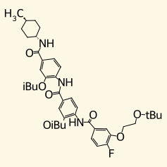 CC(C)COc1cc(C(=O)Nc2ccc(C(=O)N[C@H]3CC[C@H](C)CC3)cc2OCC(C)C)ccc1NC(=O)c1ccc(F)c(OCCOC(C)(C)C)c1